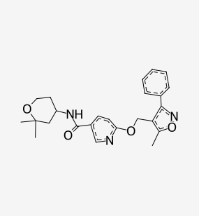 Cc1onc(-c2ccccc2)c1COc1ccc(C(=O)NC2CCOC(C)(C)C2)cn1